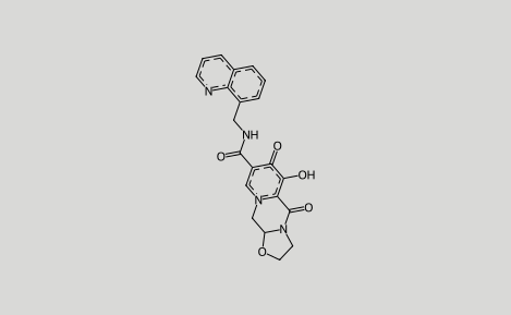 O=C(NCc1cccc2cccnc12)c1cn2c(c(O)c1=O)C(=O)N1CCOC1C2